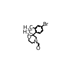 Cc1cc(Br)ccc1[C@@]1(C)CN(C=O)CCO1